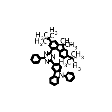 CC(C)(C)c1ccc2c(c1)C(C)(C)c1cc(C(C)(C)C)cc(-c3nc(-c4ccccc4)nc(-c4ccc5c(c4)c4ccccc4n5-c4ccccc4)n3)c1-2